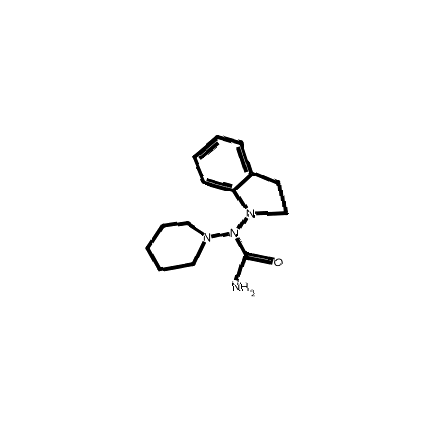 NC(=O)N(N1CCCCC1)N1CCc2ccccc21